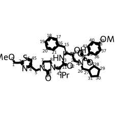 COCc1nc(CN2CCN([C@H](C(=O)N[C@@H](Cc3ccccc3)[C@H](O)CN(CC3CCCC3)S(=O)(=O)c3ccc(OC)cc3)C(C)C)C2=O)cs1